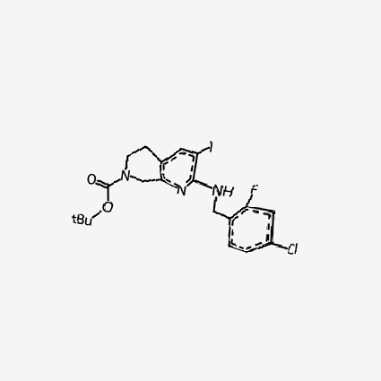 CC(C)(C)OC(=O)N1CCc2cc(I)c(NCc3ccc(Cl)cc3F)nc2C1